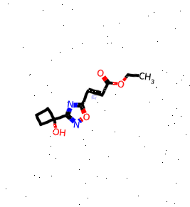 CCOC(=O)/C=C/c1nc(C2(O)CCC2)no1